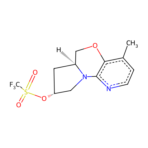 Cc1ccnc2c1OC[C@@H]1C[C@@H](OS(=O)(=O)C(F)(F)F)CN21